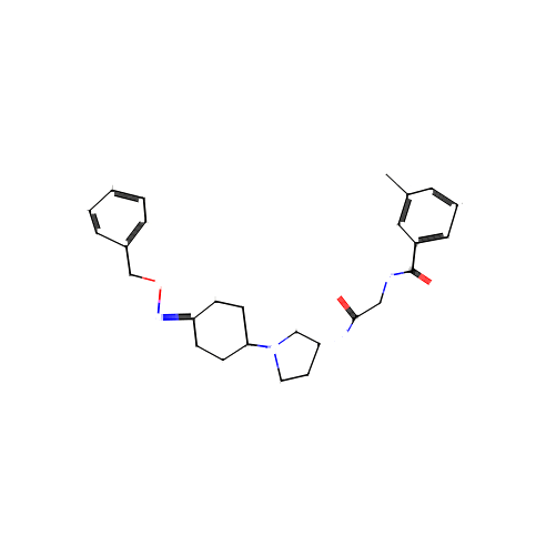 O=C(CNC(=O)c1cccc(C(F)(F)F)c1)N[C@@H]1CCN(C2CCC(=NOCc3ccccc3)CC2)C1